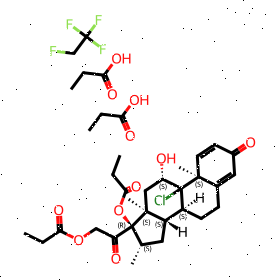 CCC(=O)O.CCC(=O)O.CCC(=O)OCC(=O)[C@@]1(OC(=O)CC)[C@@H](C)C[C@H]2[C@@H]3CCC4=CC(=O)C=C[C@]4(C)C3(Cl)[C@@H](O)C[C@@]21C.FCC(F)(F)F